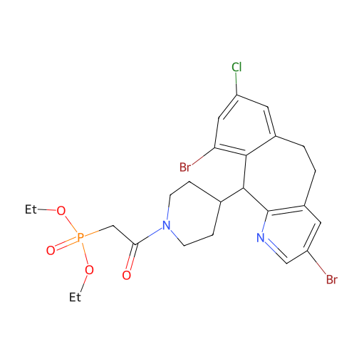 CCOP(=O)(CC(=O)N1CCC(C2c3ncc(Br)cc3CCc3cc(Cl)cc(Br)c32)CC1)OCC